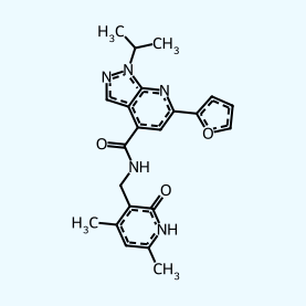 Cc1cc(C)c(CNC(=O)c2cc(-c3ccco3)nc3c2cnn3C(C)C)c(=O)[nH]1